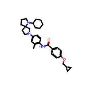 Cc1cc(N2CCC3(CCCN3C3CCCCC3)C2)ccc1NC(=O)c1ccc(OCC2CC2)cc1